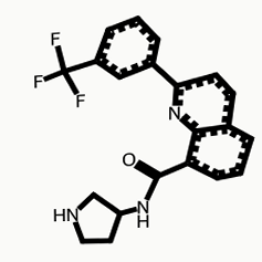 O=C(NC1CCNC1)c1cccc2ccc(-c3cccc(C(F)(F)F)c3)nc12